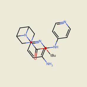 CC(C)(C)OC(=O)N1CC2CC(C1)N2c1ccc(N)c(Nc2ccncc2)n1